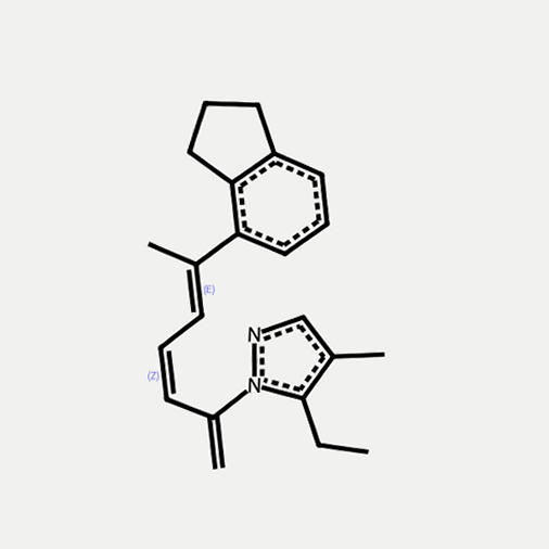 C=C(/C=C\C=C(/C)c1cccc2c1CCC2)n1ncc(C)c1CC